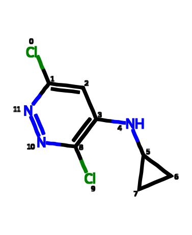 Clc1cc(NC2CC2)c(Cl)nn1